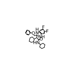 O=C(NC1CCCCC1)C(C1CCCCC1)C1(COc2ccccc2)Nc2cc(F)c(F)cc2N1